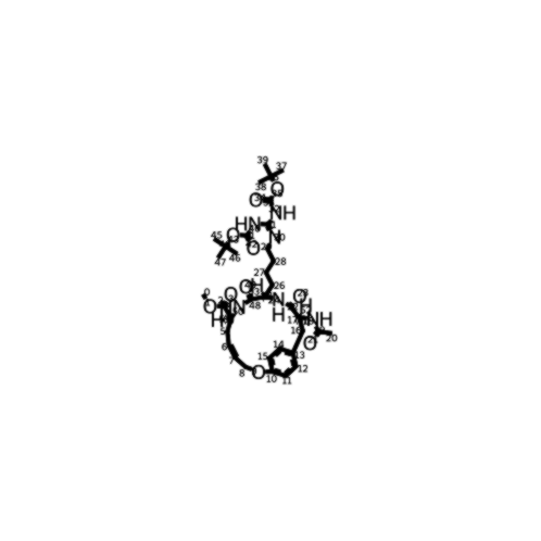 COC(=O)[C@@H]1CC=CCOc2ccc(cc2)C[C@H](NC(C)=O)C(=O)N[C@@H](CCCCN=C(NC(=O)OC(C)(C)C)NC(=O)OC(C)(C)C)C(=O)N1